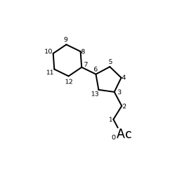 CC(=O)CCC1CCC(C2CCCCC2)C1